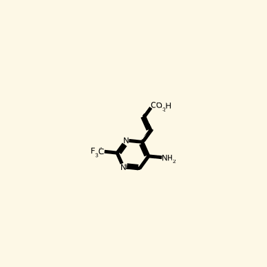 Nc1cnc(C(F)(F)F)nc1/C=C/C(=O)O